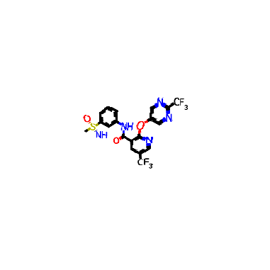 CS(=N)(=O)c1cccc(NC(=O)c2cc(C(F)(F)F)cnc2Oc2cnc(C(F)(F)F)nc2)c1